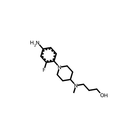 CN(CCCO)C1CCN(c2ccc(N)cc2F)CC1